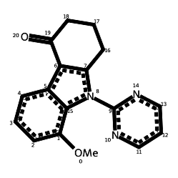 COc1cccc2c3c(n(-c4ncccn4)c12)CCCC3=O